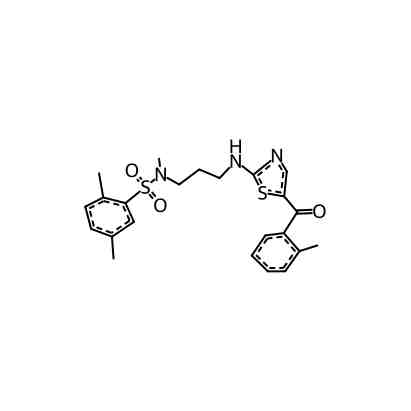 Cc1ccc(C)c(S(=O)(=O)N(C)CCCNc2ncc(C(=O)c3ccccc3C)s2)c1